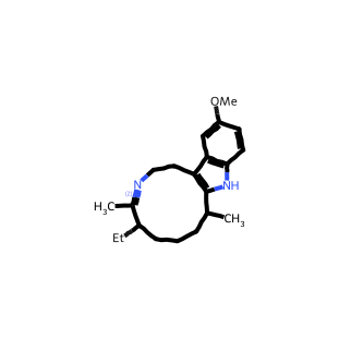 CCC1CCCC(C)c2[nH]c3ccc(OC)cc3c2CC/N=C\1C